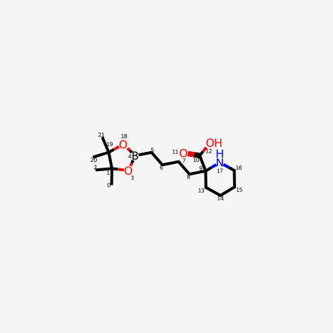 CC1(C)OB(CCCCC2(C(=O)O)CCCCN2)OC1(C)C